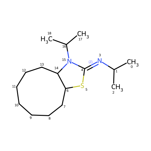 CC(C)/N=C1\SC2CCCCCCCC2N1C(C)C